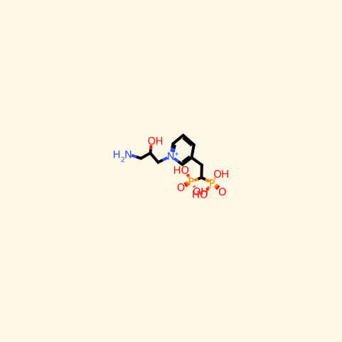 NCC(O)C[n+]1cccc(CC(P(=O)(O)O)P(=O)(O)O)c1